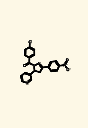 O=C(c1ccc(Cl)cc1)N1N=C(c2ccc([N+](=O)[O-])cc2)CC1c1cccnc1